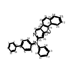 c1ccc(-c2ccc(N(c3ccccc3)c3cc4oc5c6ccccc6ccc5c4cn3)cc2)cc1